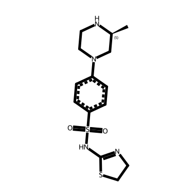 C[C@H]1CN(c2ccc(S(=O)(=O)NC3=NCCS3)cc2)CCN1